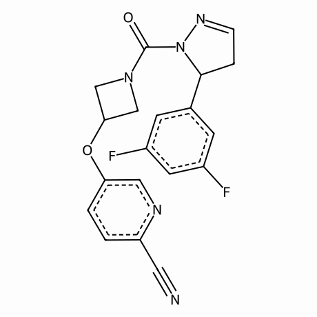 N#Cc1ccc(OC2CN(C(=O)N3N=CCC3c3cc(F)cc(F)c3)C2)cn1